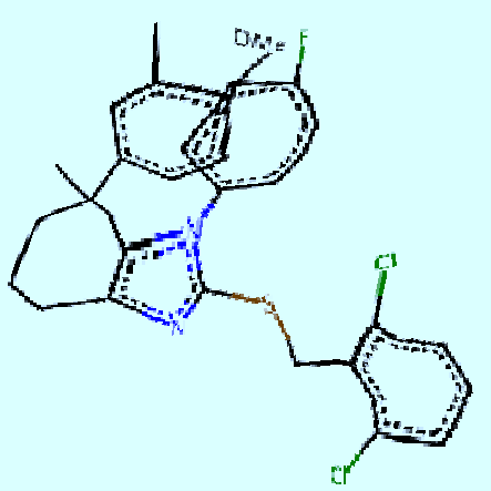 COc1ccc(C2(C)CCCc3nc(SCc4c(Cl)cccc4Cl)n(-c4ccc(F)cc4)c32)cc1C